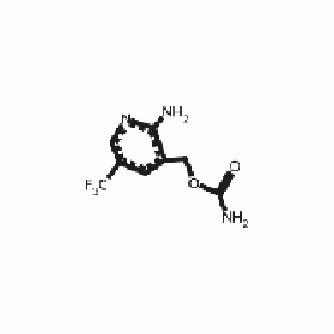 NC(=O)OCc1cc(C(F)(F)F)cnc1N